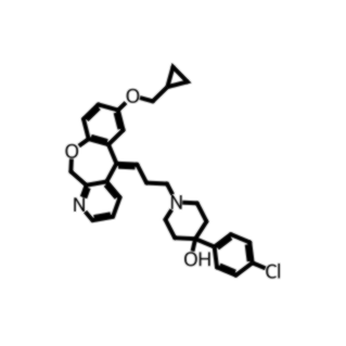 OC1(c2ccc(Cl)cc2)CCN(CCC=C2c3cc(OCC4CC4)ccc3OCc3ncccc32)CC1